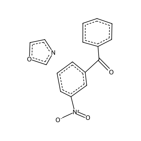 O=C(c1ccccc1)c1cccc([N+](=O)[O-])c1.c1cocn1